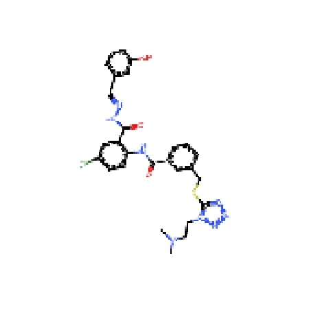 CN(C)CCn1nnnc1SCc1cccc(C(=O)Nc2ccc(Cl)cc2C(=O)NN=Cc2cccc(O)c2)c1